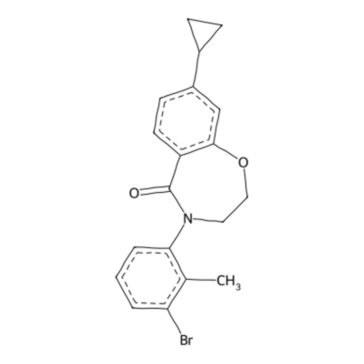 Cc1c(Br)cccc1N1CCOc2cc(C3CC3)ccc2C1=O